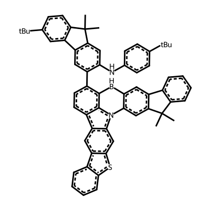 CC(C)(C)c1ccc(Nc2cc3c(cc2-c2ccc4c5cc6c(cc5n5c4c2Bc2cc4c(cc2-5)C(C)(C)c2ccccc2-4)sc2ccccc26)-c2cc(C(C)(C)C)ccc2C3(C)C)cc1